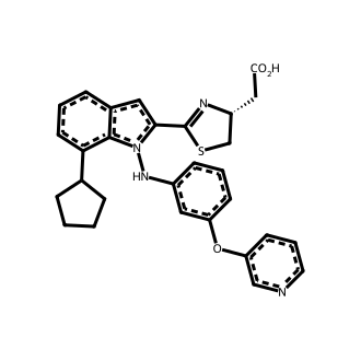 O=C(O)C[C@@H]1CSC(c2cc3cccc(C4CCCC4)c3n2Nc2cccc(Oc3cccnc3)c2)=N1